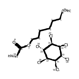 CCCCCCCCCCCCCCCCOC(=O)CCCCCCCCC.Cl[C@H]1[C@H](Cl)[C@@H](Cl)[C@@H](Cl)[C@H](Cl)[C@H]1Cl